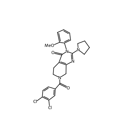 COc1ccccc1-n1c(N2CCCC2)nc2c(c1=O)CCN(C(=O)c1ccc(Cl)c(Cl)c1)C2